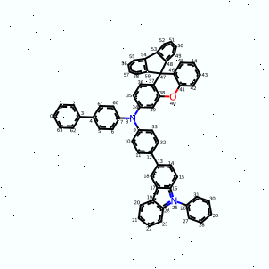 c1ccc(-c2ccc(N(c3ccc(-c4ccc5c(c4)c4ccccc4n5-c4ccccc4)cc3)c3ccc4c(c3)Oc3ccccc3C43c4ccccc4-c4ccccc43)cc2)cc1